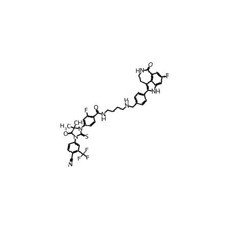 CC1(C)C(=O)N(c2ccc(C#N)c(C(F)(F)F)c2)C(=S)N1c1ccc(C(=O)NCCCCNCc2ccc(-c3[nH]c4cc(F)cc5c4c3CCNC5=O)cc2)c(F)c1